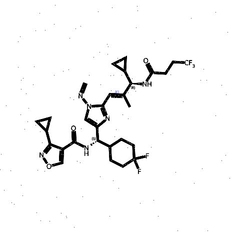 C=Nn1cc([C@@H](NC(=O)c2conc2C2CC2)C2CCC(F)(F)CC2)nc1/C=C(\C)[C@H](NC(=O)CCC(F)(F)F)C1CC1